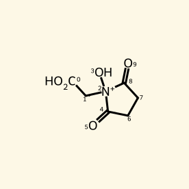 O=C(O)[CH][N+]1(O)C(=O)CCC1=O